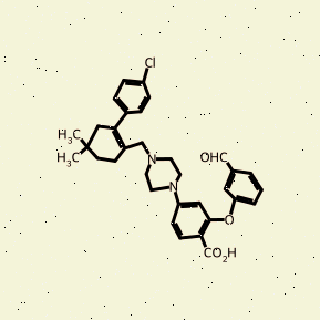 CC1(C)CCC(CN2CCN(c3ccc(C(=O)O)c(Oc4cccc(C=O)c4)c3)CC2)=C(c2ccc(Cl)cc2)C1